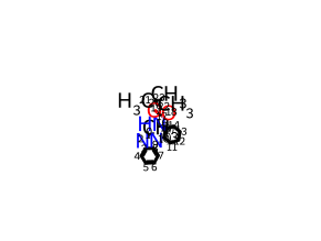 Cc1nc2ccccc2n1[C@@H]1CCCC[C@H]1NC(=O)OC(C)(C)C